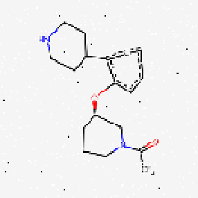 O=C(N1CCC[C@@H](Oc2ccccc2C2CCNCC2)C1)C(F)(F)F